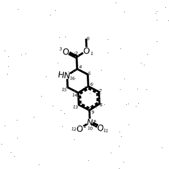 COC(=O)C1Cc2ccc([N+](=O)[O-])cc2CN1